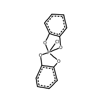 ClP12(Oc3ccccc3O1)Oc1ccccc1O2